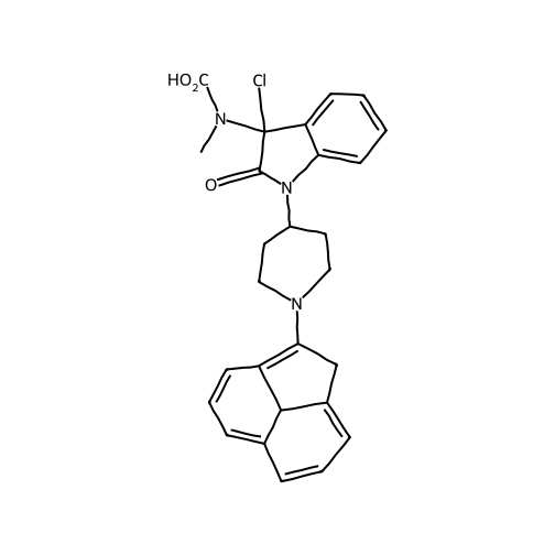 CN(C(=O)O)C1(Cl)C(=O)N(C2CCN(C3=C4C=CC=C5C=CC=C(C3)C54)CC2)c2ccccc21